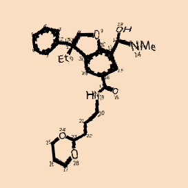 CC[C@@]1(c2ccccc2)COc2c(C(O)NC)cc(C(=O)NCCCC3OCCCO3)cc21